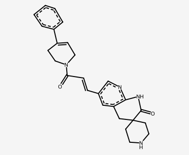 O=C(C=Cc1cnc2c(c1)CC1(CCNCC1)C(=O)N2)N1CC=C(c2ccccc2)CC1